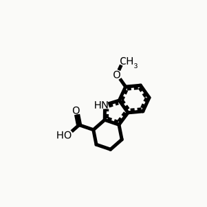 COc1cccc2c3c([nH]c12)C(C(=O)O)CCC3